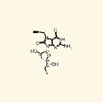 C#CCn1c(=O)n([C@@H]2O[C@H]([C@@H](O)CC)C[C@H]2O)c2nc(N)[nH]c(=O)c21